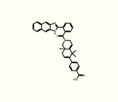 CC1(C)C(c2ccc(C(=O)O)cc2)=CC[C@]2(C)CN(C(=O)c3ccccc3-c3nc4cc5ccccc5cc4[nH]3)CC=C12